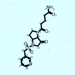 NC(=O)CCCC(=O)N1CCC2C1C(=O)CN2S(=O)(=O)Cc1cccnc1